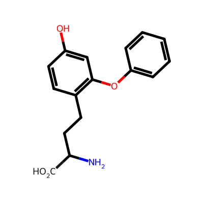 NC(CCc1ccc(O)cc1Oc1ccccc1)C(=O)O